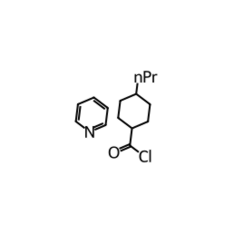 CCCC1CCC(C(=O)Cl)CC1.c1ccncc1